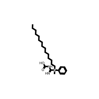 CCCCCCCCCCCCCCC[N+](C)(C(=N)NC(=O)O)c1ccccc1